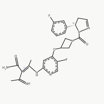 CC(=N)/C(C(N)=O)=C(/C)Nc1cc(OC2CN(C(=O)N3N=CC[C@H]3c3cccc(F)c3)C2)c(F)cn1